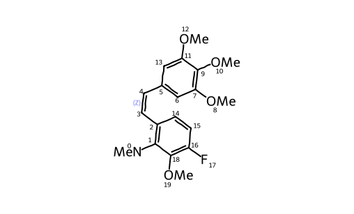 CNc1c(/C=C\c2cc(OC)c(OC)c(OC)c2)ccc(F)c1OC